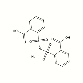 O=C(O)c1ccccc1S(=O)(=O)[N-]S(=O)(=O)c1ccccc1C(=O)O.[Na+]